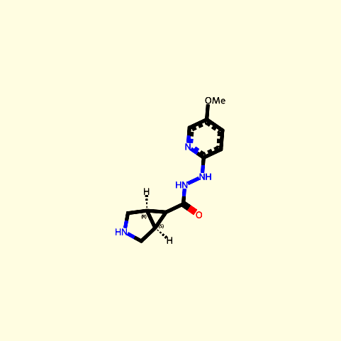 COc1ccc(NNC(=O)C2[C@H]3CNC[C@@H]23)nc1